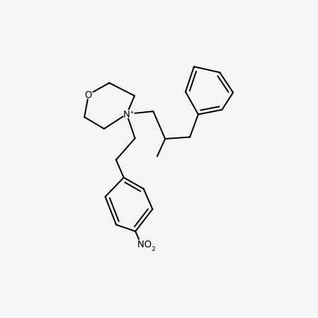 CC(Cc1ccccc1)C[N+]1(CCc2ccc([N+](=O)[O-])cc2)CCOCC1